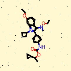 CCOc1ccc2c(N(C)OCC)c(-c3ccc(NC(=O)OC(C)C4CC4)cc3)n(C3CCC3)c2c1